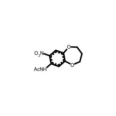 CC(=O)Nc1cc2c(cc1[N+](=O)[O-])OCCCO2